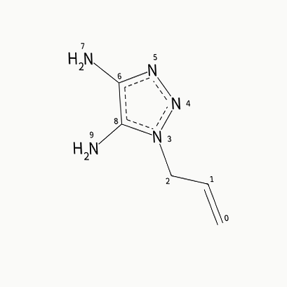 C=CCn1nnc(N)c1N